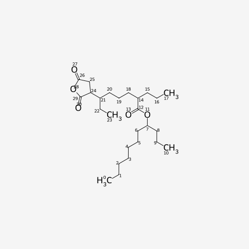 CCCCCCCC(CCC)OC(=O)C(CCC)CCCC(CC)C1CC(=O)OC1=O